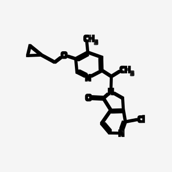 Cc1cc(C(C)N2Cc3c(ccnc3Cl)C2=O)ncc1OCC1CC1